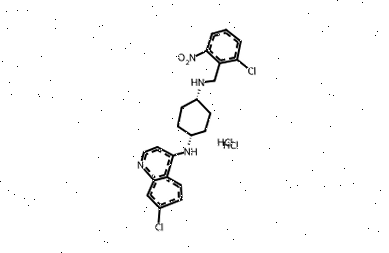 Cl.Cl.O=[N+]([O-])c1cccc(Cl)c1CN[C@H]1CC[C@@H](Nc2ccnc3cc(Cl)ccc23)CC1